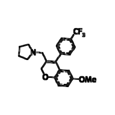 COc1ccc2c(c1)C(c1ccc(C(F)(F)F)cc1)=C(CN1CCCC1)CO2